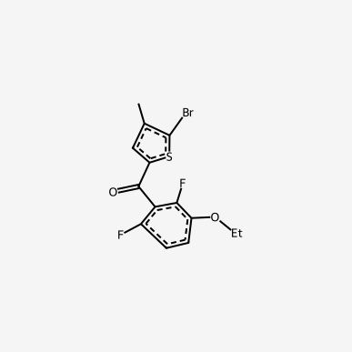 CCOc1ccc(F)c(C(=O)c2cc(C)c(Br)s2)c1F